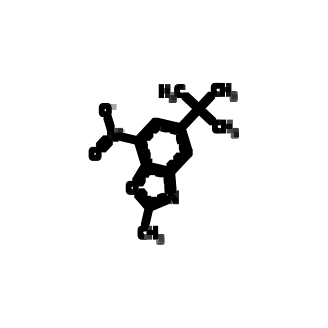 Cc1nc2cc(C(C)(C)C)cc([N+](=O)[O-])c2o1